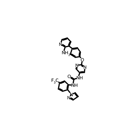 Nc1ncccc1-c1ccc(Oc2ncc(NC(=O)Nc3cc(C(F)(F)F)ccc3-n3cccn3)cn2)cc1